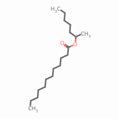 CCCCCCCCCCCC(=O)OC(C)CCCCC